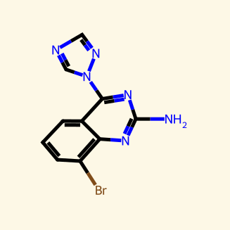 Nc1nc(-n2cncn2)c2cccc(Br)c2n1